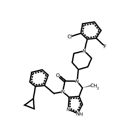 C[C@@H]1c2c[nH]nc2N(Cc2ccccc2C2CC2)C(=O)N1C1CCN(c2c(F)cccc2Cl)CC1